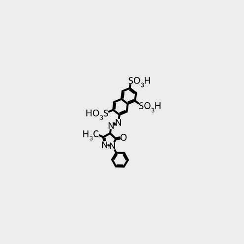 CC1=NN(c2ccccc2)C(=O)C1N=Nc1cc2c(S(=O)(=O)O)cc(S(=O)(=O)O)cc2cc1S(=O)(=O)O